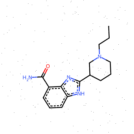 CCCN1CCCC(c2nc3c(C(N)=O)cccc3[nH]2)C1